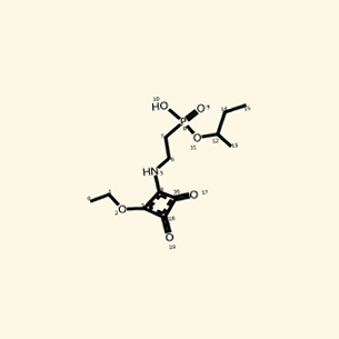 CCOc1c(NCCP(=O)(O)OC(C)CC)c(=O)c1=O